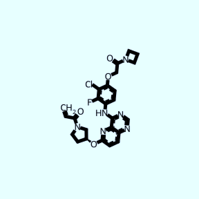 C=CC(=O)N1CC[C@H](Oc2ccc3ncnc(Nc4ccc(OCC(=O)N5CCC5)c(Cl)c4F)c3n2)C1